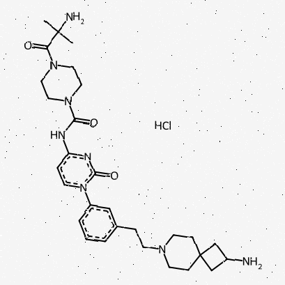 CC(C)(N)C(=O)N1CCN(C(=O)Nc2ccn(-c3cccc(CCN4CCC5(CC4)CC(N)C5)c3)c(=O)n2)CC1.Cl